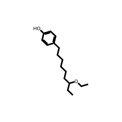 CCOC(CC)CCCCCCc1ccc(O)cc1